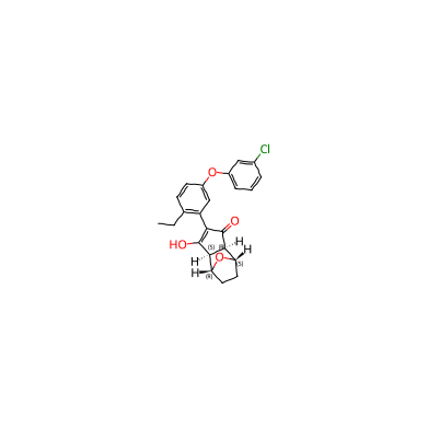 CCc1ccc(Oc2cccc(Cl)c2)cc1C1=C(O)[C@H]2[C@@H](C1=O)[C@@H]1CC[C@H]2O1